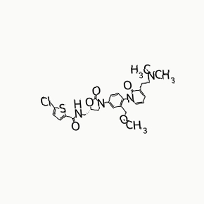 COCc1cc(N2C[C@H](CNC(=O)c3ccc(Cl)s3)OC2=O)ccc1-n1cccc(CCN(C)C)c1=O